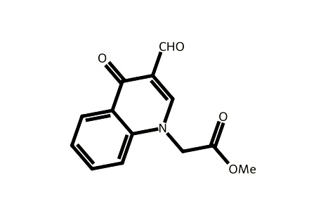 COC(=O)Cn1cc(C=O)c(=O)c2ccccc21